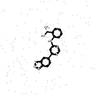 C[C@@H](O)c1ccccc1Nc1cc(-c2ccc3nonc3c2)ncn1